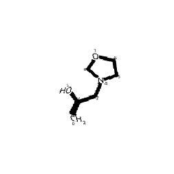 C=C(O)CN1CCOC1